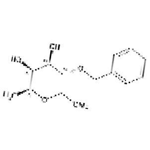 COC1O[C@@H](C)[C@@H](O)[C@@H](O)[C@@H]1OCc1ccccc1